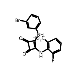 O=C(O)c1cccc(F)c1Nc1c(Nc2cccc(Br)c2)c(=O)c1=O